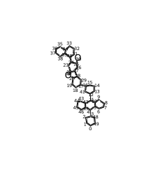 c1ccc(-c2c3ccccc3c(-c3cccc(-c4ccc5oc6cc7c(cc6c5c4)oc4ccc5ccccc5c47)c3)c3ccccc23)cc1